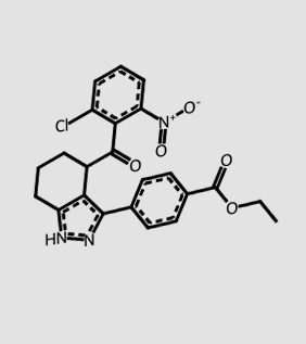 CCOC(=O)c1ccc(-c2n[nH]c3c2C(C(=O)c2c(Cl)cccc2[N+](=O)[O-])CCC3)cc1